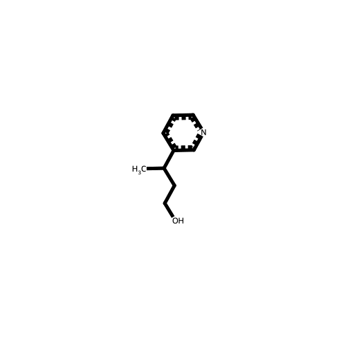 CC(CCO)c1cccnc1